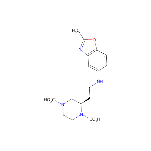 Cc1nc2cc(NCC[C@@H]3CN(C(=O)O)CCN3C(=O)O)ccc2o1